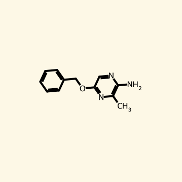 Cc1nc(OCc2ccccc2)cnc1N